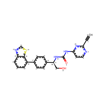 C#Cc1nccc(NC(=O)N[C@@H](CO)c2ccc(-c3cccc4ncsc34)cc2)n1